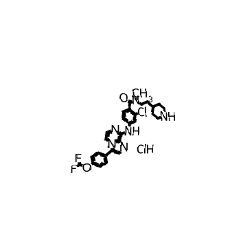 CN(CCC1CCNCC1)C(=O)c1ccc(Nc2nccn3c(-c4ccc(OC(F)F)cc4)cnc23)cc1Cl.Cl